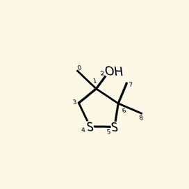 CC1(O)CSSC1(C)C